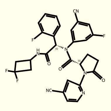 N#Cc1cc(F)cc(N(C(=O)[C@@H]2CCC(=O)N2c2cc(C#N)ccn2)[C@H](C(=O)NC2CC(F)(F)C2)c2ccccc2F)c1